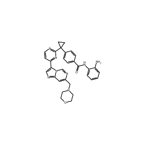 Nc1ccccc1NC(=O)c1ccc(C2(c3nccc(-c4cnc5cc(CN6CCOCC6)ncn45)n3)CC2)cc1